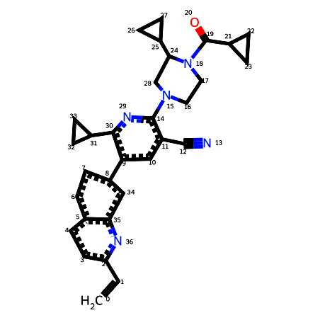 C=Cc1ccc2ccc(-c3cc(C#N)c(N4CCN(C(=O)C5CC5)C(C5CC5)C4)nc3C3CC3)cc2n1